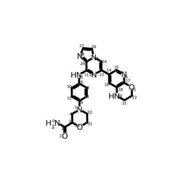 NC(=O)C1CN(c2ccc(Nc3nc(-c4cnc5c(c4)NCCO5)cn4ccnc34)cc2)CCO1